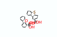 OB(O)c1ccc2sc3ccccc3c2c1.OB(O)c1cccc2c1oc1ccccc12